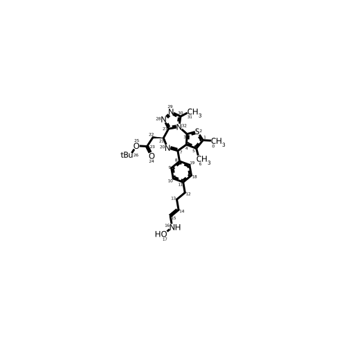 Cc1sc2c(c1C)C(c1ccc(CCC=CNO)cc1)=N[C@@H](CC(=O)OC(C)(C)C)c1nnc(C)n1-2